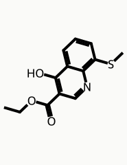 CCOC(=O)c1cnc2c(SC)cccc2c1O